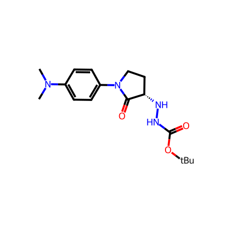 CN(C)c1ccc(N2CC[C@H](NNC(=O)OC(C)(C)C)C2=O)cc1